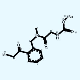 CN(Cc1ccccc1C(=O)CBr)C(=O)CNC(=O)OC(C)(C)C